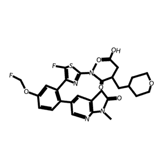 CN(C(=O)C(CC(=O)O)CC1CCOCC1)c1nc(-c2cc(OCF)ccc2-c2cnc3c(c2)CC(=O)N3C)c(F)s1